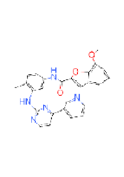 COc1cccc2cc(C(=O)Nc3ccc(C)c(Nc4nccc(-c5cccnc5)n4)c3)oc12